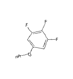 CCCOc1cc(F)c(F)c(F)c1